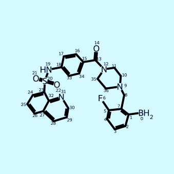 Bc1cccc(F)c1CN1CCN(C(=O)c2ccc(NS(=O)(=O)c3cccc4cccnc34)cc2)CC1